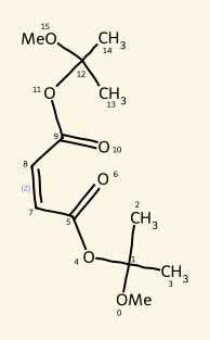 COC(C)(C)OC(=O)/C=C\C(=O)OC(C)(C)OC